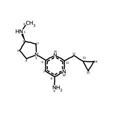 CN[C@@H]1CCN(c2cc(N)nc(CC3CC3)n2)C1